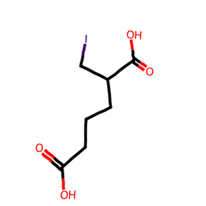 O=C(O)CCCC(CI)C(=O)O